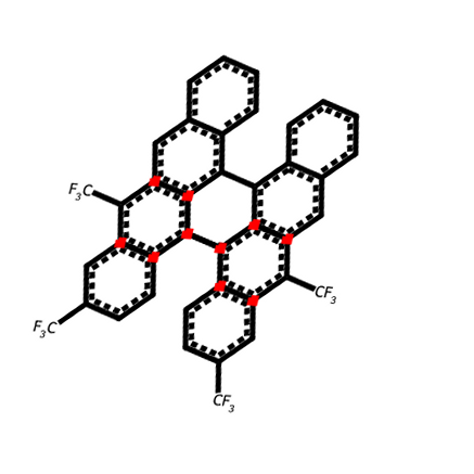 FC(F)(F)c1ccc(P(c2ccc(C(F)(F)F)cc2)c2ccc3ccccc3c2-c2c(P(c3ccc(C(F)(F)F)cc3)c3ccc(C(F)(F)F)cc3)ccc3ccccc23)cc1